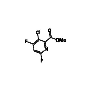 COC(=O)c1nc(F)cc(F)c1Cl